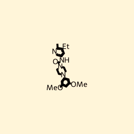 CCc1cc(NC(=O)N2CCN(c3cc(OC)cc(OC)c3)CC2)cnc1C